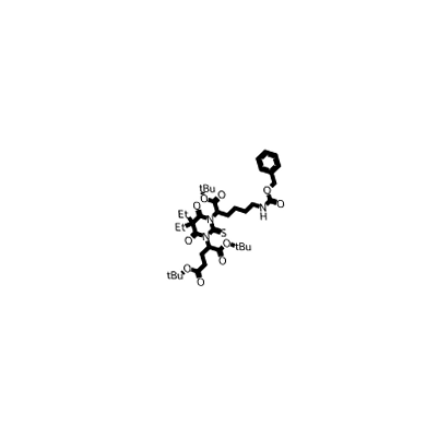 CCC1(CC)C(=O)N(C(CCCCNC(=O)OCc2ccccc2)C(=O)OC(C)(C)C)C(=S)N(C(CCC(=O)OC(C)(C)C)C(=O)OC(C)(C)C)C1=O